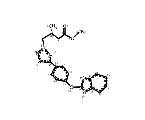 C[C@H](CC(=O)OC(C)(C)C)Cn1nnc(-c2ccc(Oc3nc4ccccc4s3)cc2)n1